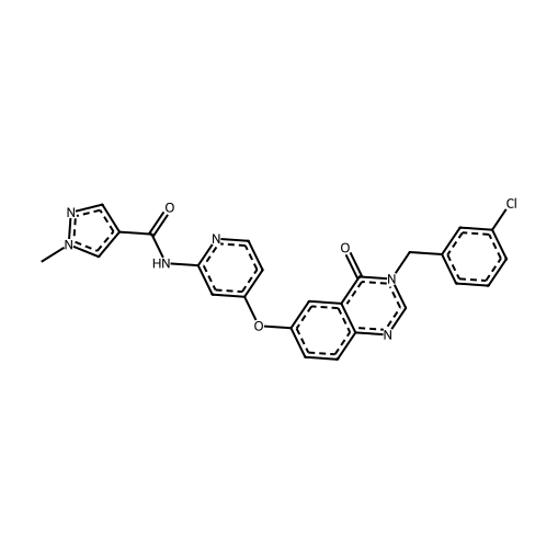 Cn1cc(C(=O)Nc2cc(Oc3ccc4ncn(Cc5cccc(Cl)c5)c(=O)c4c3)ccn2)cn1